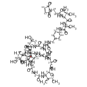 CC[C@H](C)[C@@H]1NC(=O)CNC(=O)[C@@H]2Cc3c([nH]c4ccccc34)SC[C@H](NC(=O)CNC1=O)C(=O)N[C@@H](CC(=O)NCc1ccc(NC(=O)[C@H](C)NC(=O)C(NC(=O)CCN3C(=O)C=CC3=O)C(C)C)cc1)C(=O)N1C[C@H](O)C[C@H]1C(=O)NC([C@@H](C)[C@@H](O)CO)C(=O)N2